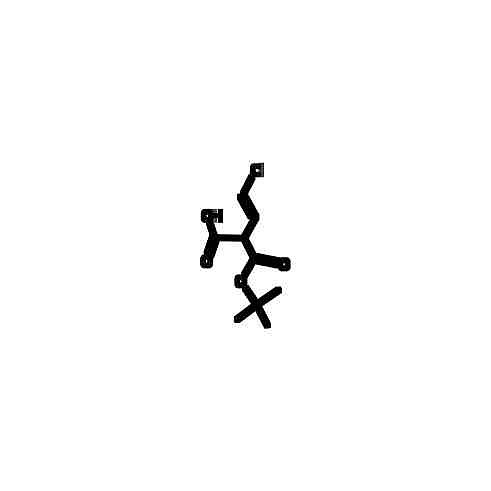 CC(C)(C)OC(=O)C(C=CCl)C(=O)O